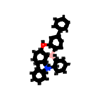 c1ccc(-c2ccc3c(c2)Oc2ccc4c5ccccc5n5c4c2B3c2ccccc2-5)cc1